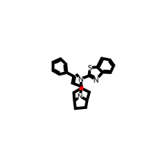 CN(c1nc2ccccc2s1)C1CC2CCC(C1)N2CC=Cc1ccccc1